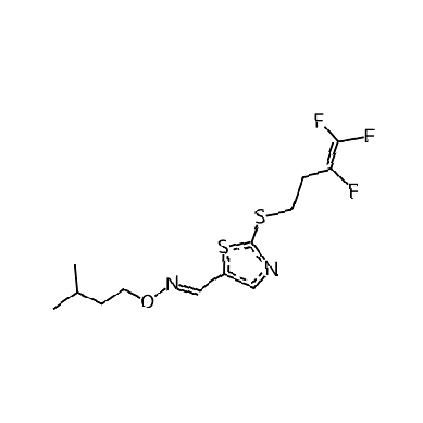 CC(C)CCON=Cc1cnc(SCCC(F)=C(F)F)s1